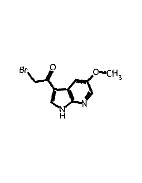 COc1cnc2[nH]cc(C(=O)CBr)c2c1